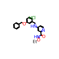 CCONC(=O)c1cc(NCc2cccc(OCc3ccccc3)c2)ccn1.Cl